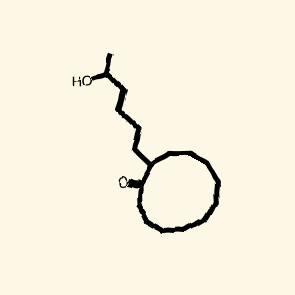 CC(O)CCCCC1CCCCCCCCCCC1=O